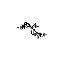 CC(=O)O.OCc1cc([C@@H](O)CNCCCCCCOCCOCc2cccc(-c3cnc(O)nc3O)c2)ccc1O